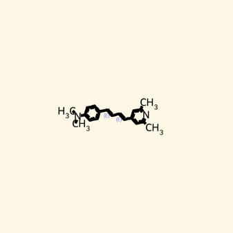 Cc1cc(/C=C/C=C/c2ccc(N(C)C)cc2)cc(C)n1